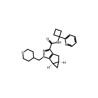 O=C(NC1(c2ccccn2)CCC1)c1nn(CC2CCOCC2)c2c1C[C@H]1C[C@@H]21